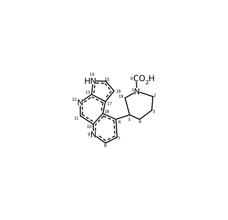 O=C(O)N1CCCC(c2ccnc3cnc4[nH]ccc4c23)C1